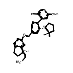 COc1cc(-c2ccc(COc3ccc4c(c3)[C@@](C)(CC(=O)O)CC4)cc2[C@@H]2CCCC2(C)C)c(F)cn1